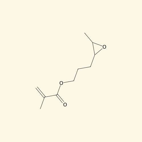 C=C(C)C(=O)OCCCC1OC1C